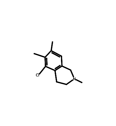 Cc1cc2c(c(Cl)c1C)CCN(C)C2